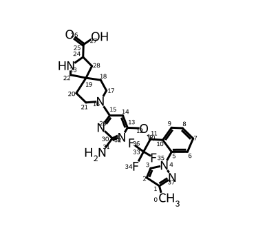 Cc1ccn(-c2ccccc2[C@@H](Oc2cc(N3CCC4(CC3)CNC(C(=O)O)C4)nc(N)n2)C(F)(F)F)n1